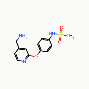 CS(=O)(=O)Nc1ccc(Oc2cc(CN)ccn2)cc1